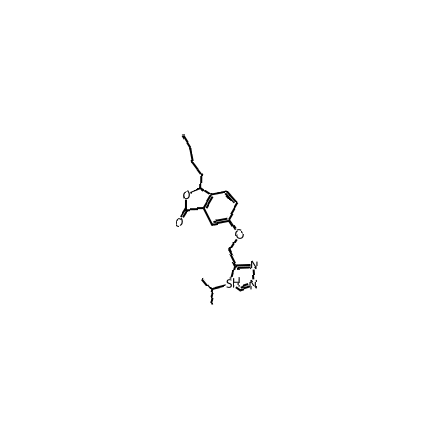 CCCCC1OC(=O)c2cc(OCC3=NN=C[SH]3C(C)C)ccc21